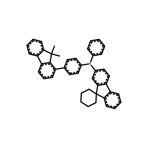 CC1(C)c2ccccc2-c2cccc(-c3ccc(N(c4ccccc4)c4ccc5c(c4)C4(CCCCC4)c4ccccc4-5)cc3)c21